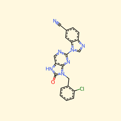 N#Cc1ccc2ncn(-c3ncc4[nH]c(=O)n(Cc5ccccc5Cl)c4n3)c2c1